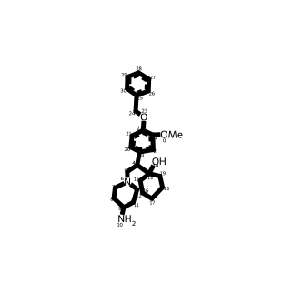 COc1cc(C(CN2CCC(N)CC2)C2(O)CCCCC2)ccc1OCc1ccccc1